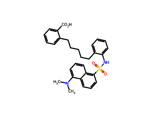 CN(C)c1cccc2c(S(=O)(=O)Nc3ccccc3CCCCCc3ccccc3C(=O)O)cccc12